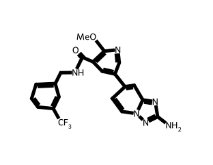 COc1ncc(-c2ccn3nc(N)nc3c2)cc1C(=O)NCc1cccc(C(F)(F)F)c1